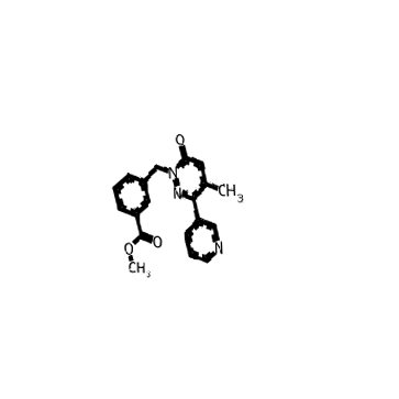 COC(=O)c1cccc(Cn2nc(-c3cccnc3)c(C)cc2=O)c1